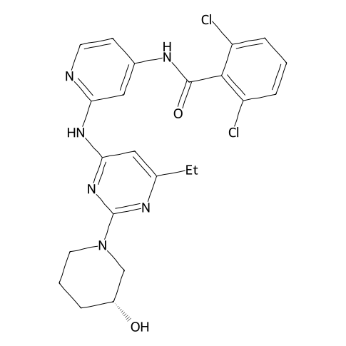 CCc1cc(Nc2cc(NC(=O)c3c(Cl)cccc3Cl)ccn2)nc(N2CCC[C@@H](O)C2)n1